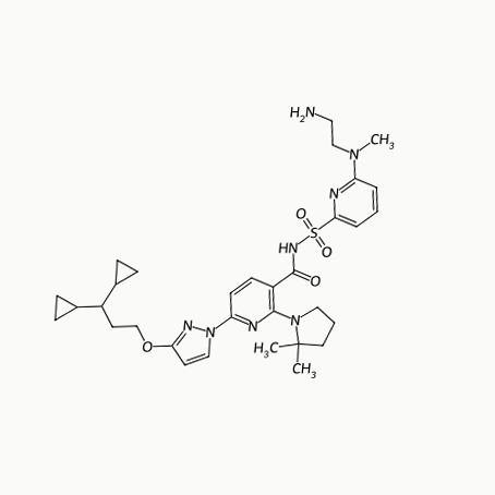 CN(CCN)c1cccc(S(=O)(=O)NC(=O)c2ccc(-n3ccc(OCCC(C4CC4)C4CC4)n3)nc2N2CCCC2(C)C)n1